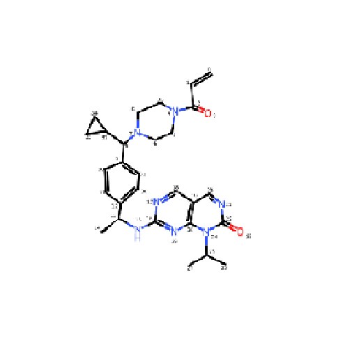 C=CC(=O)N1CCN(C(c2ccc([C@H](C)Nc3ncc4cnc(=O)n(C(C)C)c4n3)cc2)C2CC2)CC1